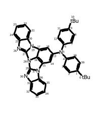 CC(C)(C)c1ccc(N(c2ccc(C(C)(C)C)cc2)c2cc3c4c(c2)n2c5ccccc5nc2n4c2nc4ccccc4n32)cc1